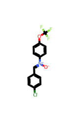 [O-][N+](=Cc1ccc(Cl)cc1)c1ccc(OC(F)(F)F)cc1